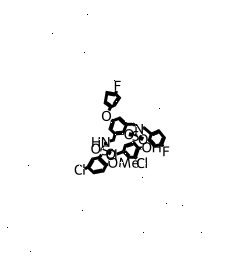 COc1ccc(Cl)cc1S(=O)(=O)NCc1cc(CN(Cc2ccc(F)cc2)S(=O)(=O)c2cc(Cl)cc(Cl)c2O)cc(Oc2ccc(F)cc2)c1